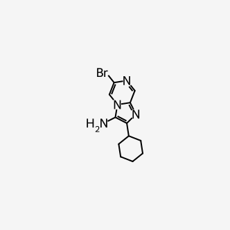 Nc1c(C2CCCCC2)nc2cnc(Br)cn12